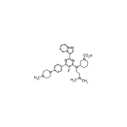 CN(C)CCN(c1nc(-c2cnn3ccccc23)nc(-c2ccc(N3CCN(C)CC3)cc2)c1F)[C@@H]1CCCN(C(=O)O)C1